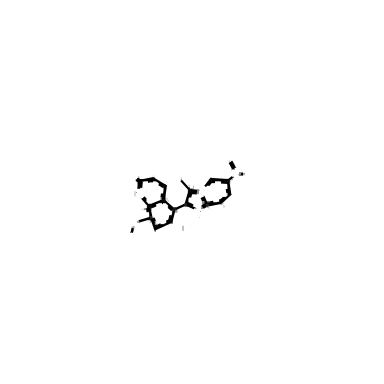 Br.COc1ccc(-c2nc3ccc([N+](=O)[O-])cn3c2C)c2ccc(=O)[nH]c12